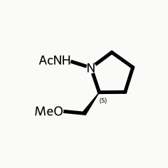 COC[C@@H]1CCCN1NC(C)=O